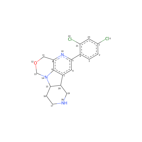 Clc1ccc(-c2cc3c4c(n2)COCN4C2CCNCC32)c(Cl)c1